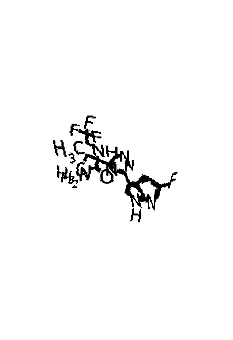 CC(C)[C@@](NCC(F)(F)F)(C(N)=O)c1cnnc(-c2c[nH]c3ncc(F)cc23)n1